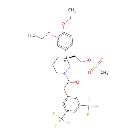 CCOc1ccc([C@@]2(CCOS(C)(=O)=O)CCCN(C(=O)Cc3cc(C(F)(F)F)cc(C(F)(F)F)c3)C2)cc1OCC